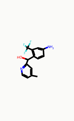 Cc1ccnc(C(O)c2ccc(N)cc2C(F)(F)F)c1